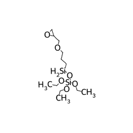 CCO[Si](OCC)(OCC)O[SiH2]CCCOCC1CO1